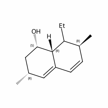 CCC1[C@@H](C)C=CC2=C[C@H](C)C[C@H](O)[C@@H]21